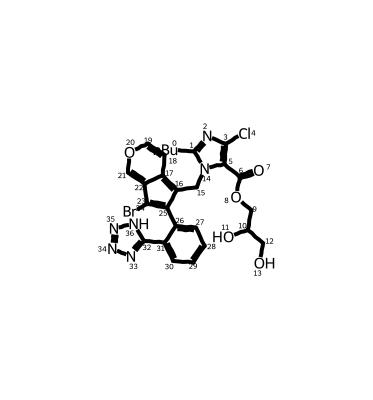 CCCCc1nc(Cl)c(C(=O)OCC(O)CO)n1Cc1c2ccocc-2c(Br)c1-c1ccccc1-c1nnn[nH]1